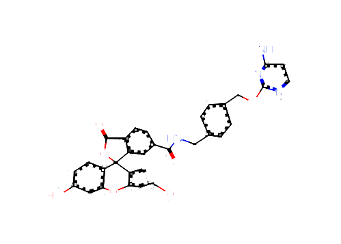 Nc1ccnc(OCc2ccc(CNC(=O)c3ccc4c(c3)C3(OC4=O)c4ccc(O)cc4Oc4cc(O)ccc43)cc2)n1